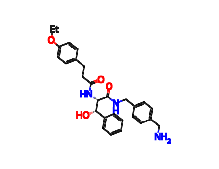 CCOc1ccc(CCC(=O)N[C@H](C(=O)NCc2ccc(CN)cc2)[C@@H](O)c2ccccc2)cc1